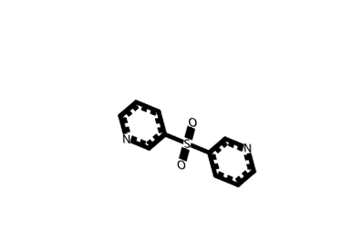 O=S(=O)(c1cccnc1)c1cccnc1